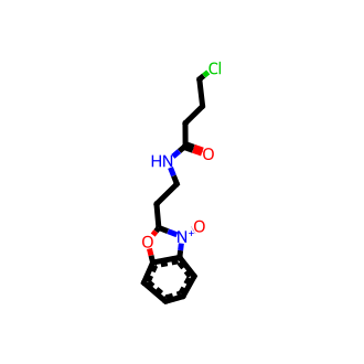 O=C(CCCCl)NCCC1Oc2ccccc2[N+]1=O